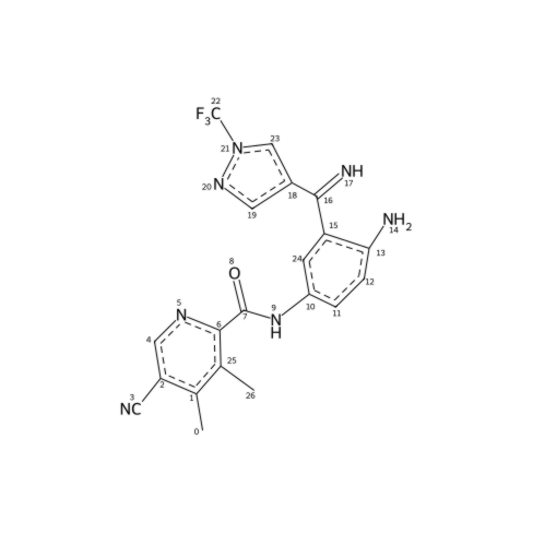 Cc1c(C#N)cnc(C(=O)Nc2ccc(N)c(C(=N)c3cnn(C(F)(F)F)c3)c2)c1C